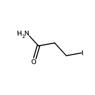 NC(=O)CCI